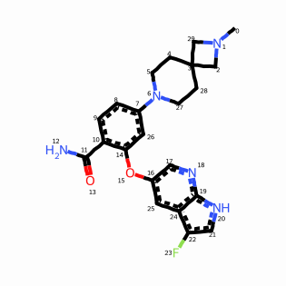 CN1CC2(CCN(c3ccc(C(N)=O)c(Oc4cnc5[nH]cc(F)c5c4)c3)CC2)C1